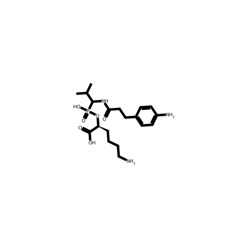 CC(C)C(NC(=O)CCc1ccc(N)cc1)P(=O)(O)O[C@@H](CCCCN)C(=O)O